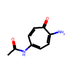 CC(=O)Nc1ccc(N)c(=O)cc1